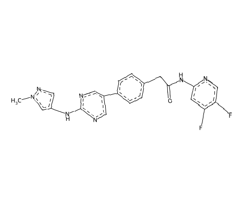 Cn1cc(Nc2ncc(-c3ccc(CC(=O)Nc4cc(F)c(F)cn4)cc3)cn2)cn1